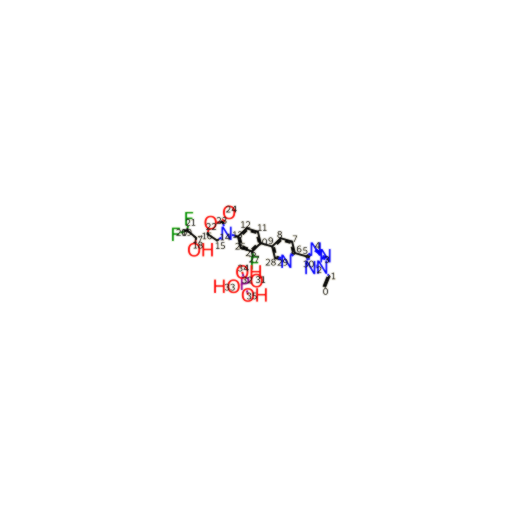 C=Cn1nnc(-c2ccc(-c3ccc(N4C[C@H](C(O)C(F)F)OC4=O)cc3F)cn2)n1.O=P(O)(O)O